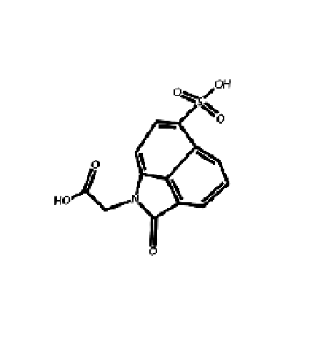 O=C(O)CN1C(=O)c2cccc3c(S(=O)(=O)O)ccc1c23